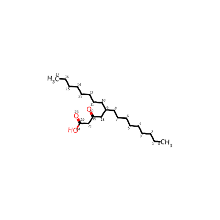 CCCCCCCCCC(CCCCCCCC)CC(=O)CC(=O)O